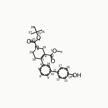 COC(=O)C1=C(c2cccc(-c3ccc(O)cc3)c2)CCN(C(=O)OC(C)(C)C)C1